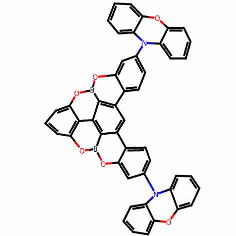 c1ccc2c(c1)Oc1ccccc1N2c1ccc2c(c1)OB1Oc3cccc4c3-c3c1c-2cc1c3B(Oc2cc(N3c5ccccc5Oc5ccccc53)ccc2-1)O4